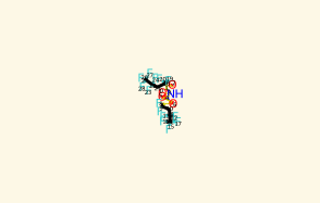 O=S(=O)(NS(=O)(=O)C(F)(F)CC(F)(F)C(F)(F)F)C(F)(F)CC(F)(F)C(F)(F)F